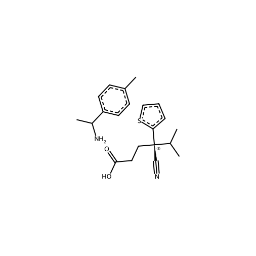 CC(C)[C@](C#N)(CCC(=O)O)c1cccs1.Cc1ccc(C(C)N)cc1